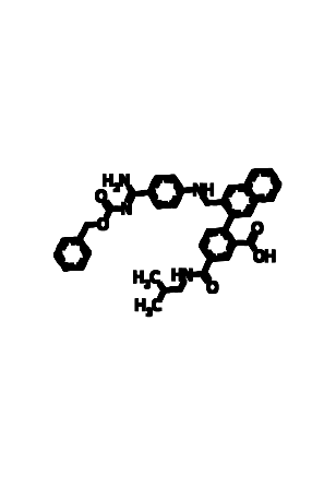 CC(C)CNC(=O)c1ccc(-c2cc3ccccc3cc2CNc2ccc(C(N)=NC(=O)OCc3ccccc3)cc2)c(C(=O)O)c1